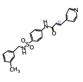 Cc1cccc(CNS(=O)(=O)c2ccc(NC(=O)/C=C/c3ccncc3)cc2)c1